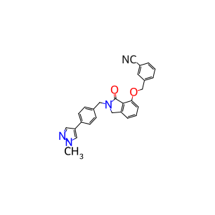 Cn1cc(-c2ccc(CN3Cc4cccc(OCc5cccc(C#N)c5)c4C3=O)cc2)cn1